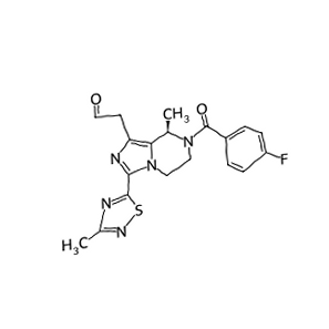 Cc1nsc(-c2nc(CC=O)c3n2CCN(C(=O)c2ccc(F)cc2)[C@@H]3C)n1